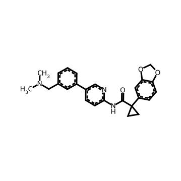 CN(C)Cc1cccc(-c2ccc(NC(=O)C3(c4ccc5c(c4)OCO5)CC3)nc2)c1